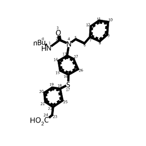 CCCCNC(=O)N(CCc1ccccc1)c1ccc(Sc2cccc(CC(=O)O)c2)cc1